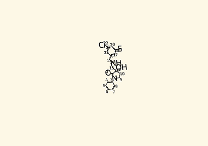 O=C1N(c2ccccc2)CC[C@]1(O)CNCc1cc(F)cc(Cl)c1